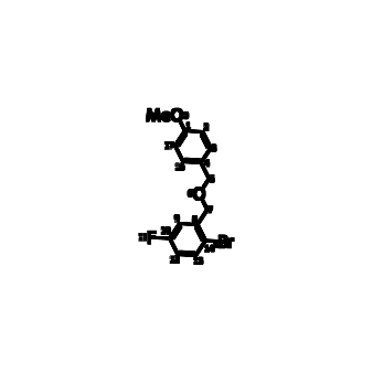 COc1ccc(COCc2cc(F)ccc2Br)cc1